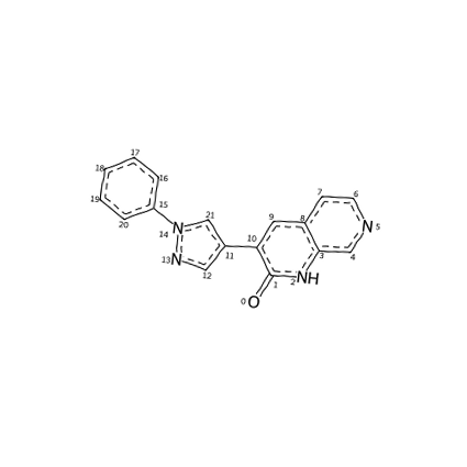 O=c1[nH]c2cnccc2cc1-c1cnn(-c2ccccc2)c1